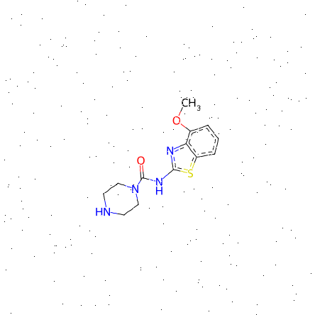 COc1cccc2sc(NC(=O)N3CCNCC3)nc12